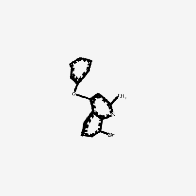 Cc1cc(Oc2ccccc2)c2cccc(Br)c2n1